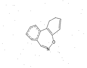 C1=CC2=C(CC1)c1ccccc1C=NO2